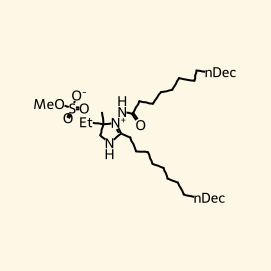 CCCCCCCCCCCCCCCCCCC1=[N+](NC(=O)CCCCCCCCCCCCCCCCC)C(C)(CC)CN1.COS(=O)(=O)[O-]